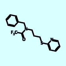 O=C(N(CCCSc1ccccn1)Cc1ccccc1)C(F)(F)F